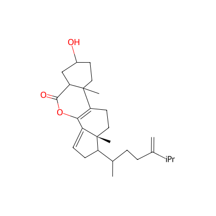 C=C(CCC(C)C1CC=C2C3=C(CC[C@@]21C)C1(C)CCC(O)CC1C(=O)O3)C(C)C